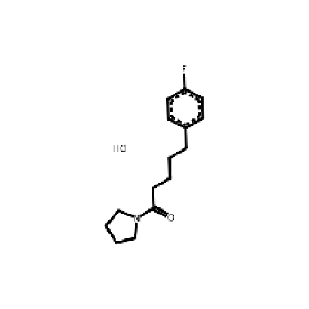 Cl.O=C(CCCCc1ccc(F)cc1)N1CCCC1